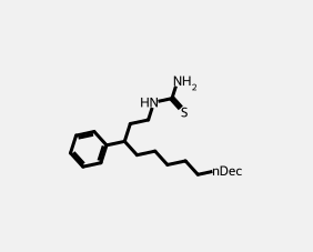 CCCCCCCCCCCCCCCC(CCNC(N)=S)c1ccccc1